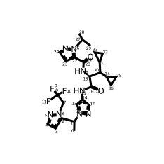 CC(c1ccnn1CC(F)(F)F)n1cc(NC(=O)[C@@H](NC(=O)c2ccnn2C(C)C)C(C2CC2)C2CC2)cn1